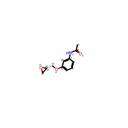 CC(=O)Nc1cccc(OC[C@@H]2CO2)c1